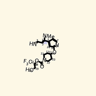 CN/C(=C\C=N)c1ccnc(OC2CCN(C(=O)O[C@H](CO)C(F)(F)F)CC2)c1